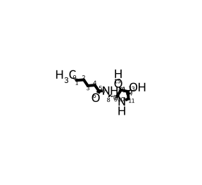 CCCCCC(=O)NC[C@H]1NC[C@H](O)[C@H]1O